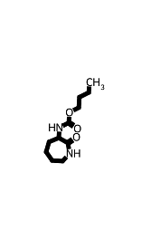 CCCCOC(=O)NC1CCCCNC1=O